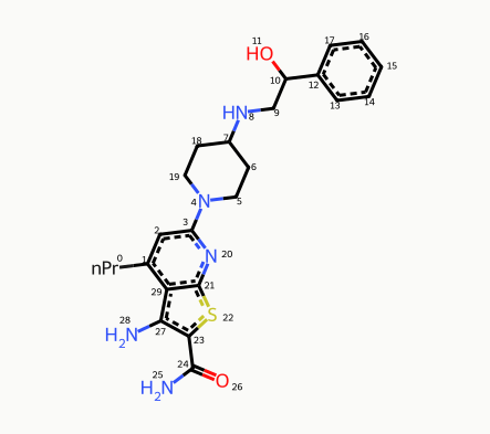 CCCc1cc(N2CCC(NCC(O)c3ccccc3)CC2)nc2sc(C(N)=O)c(N)c12